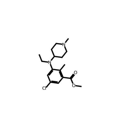 CCN(c1cc(Cl)cc(C(=O)OC)c1C)C1CCN(C)CC1